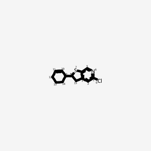 Clc1cc2c(cn1)SC(C1C=CCCC1)C2